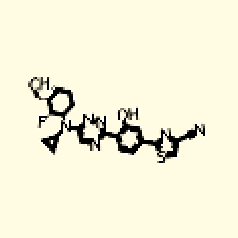 CC[C@@H]1CCC[C@H](N(c2cnc(-c3ccc(-c4nc(C#N)cs4)cc3O)nn2)C2CC2)[C@@H]1F